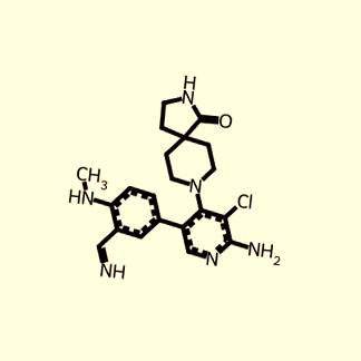 CNc1ccc(-c2cnc(N)c(Cl)c2N2CCC3(CCNC3=O)CC2)cc1C=N